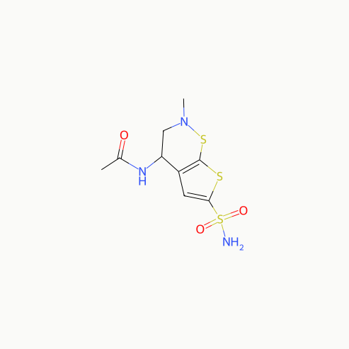 CC(=O)NC1CN(C)Sc2sc(S(N)(=O)=O)cc21